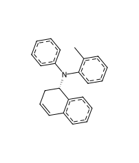 Cc1ccccc1N(c1ccccc1)[C@H]1CC=Cc2ccccc21